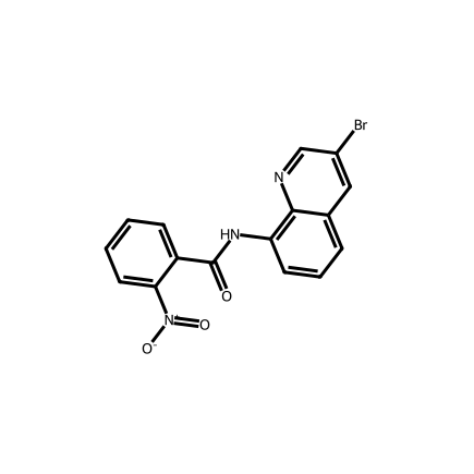 O=C(Nc1cccc2cc(Br)cnc12)c1ccccc1[N+](=O)[O-]